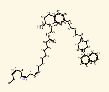 CC/C=C\C/C=C\C/C=C\CCCCCCCC(=O)OCN1c2nc(OCCCCN3CCN(c4cccc5ccccc45)CC3)ccc2CCC1O